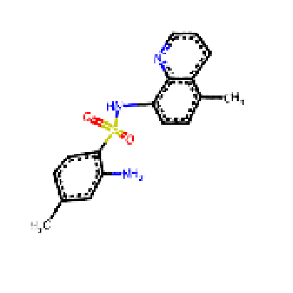 Cc1ccc(S(=O)(=O)Nc2ccc(C)c3cccnc23)c(N)c1